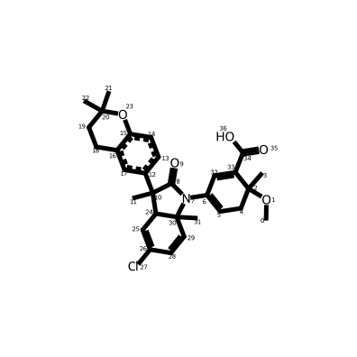 COC1(C)CC=C(N2C(=O)C(C)(c3ccc4c(c3)CCC(C)(C)O4)C3C=C(Cl)C=CC32C)C=C1C(=O)O